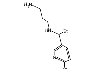 CCC(NCCCN)c1ccc(Cl)nc1